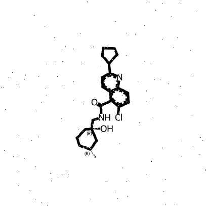 C[C@@H]1CCC[C@](O)(CNC(=O)c2c(Cl)ccc3nc(C4CCCC4)ccc23)C1